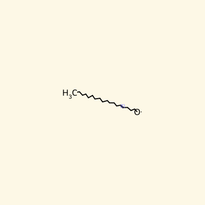 CCCCCCCCCCCCC/C=C/CCC[O]